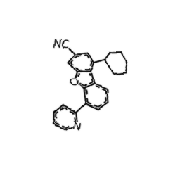 N#Cc1cc(C2CCCCC2)c2c(c1)oc1c(-c3ccccn3)cccc12